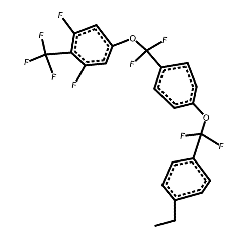 CCc1ccc(C(F)(F)Oc2ccc(C(F)(F)Oc3cc(F)c(C(F)(F)F)c(F)c3)cc2)cc1